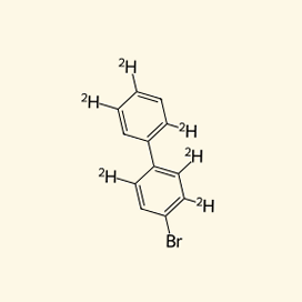 [2H]c1cc([2H])c(-c2c([2H])cc(Br)c([2H])c2[2H])cc1[2H]